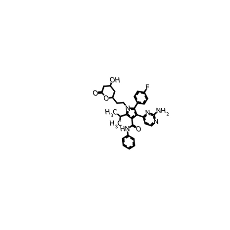 CC(C)c1c(C(=O)Nc2ccccc2)c(-c2ccnc(N)n2)c(-c2ccc(F)cc2)n1CCC1CC(O)CC(=O)O1